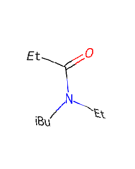 [CH2]CC(=O)N(CC)C(C)CC